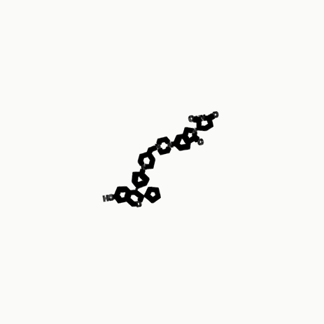 O=C1CC[C@H](N2Cc3cc(N4CCN(CC5CCN(c6ccc([C@H]7c8ccc(O)cc8CO[C@H]7C7CCCC7)cc6)CC5)CC4)ccc3C2=O)C(=O)N1